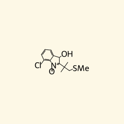 CSCC(C)(C)C1C(O)c2cccc(Cl)c2[N+]1=O